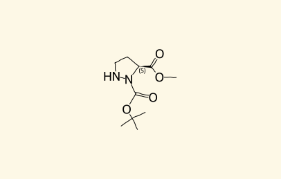 COC(=O)[C@@H]1CCNN1C(=O)OC(C)(C)C